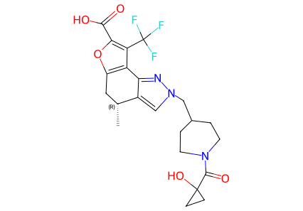 C[C@@H]1Cc2oc(C(=O)O)c(C(F)(F)F)c2-c2nn(CC3CCN(C(=O)C4(O)CC4)CC3)cc21